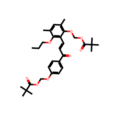 CCCOc1c(C)cc(C)c(OCOC(=O)C(C)(C)C)c1/C=C/C(=O)c1ccc(OCOC(=O)C(C)(C)C)cc1